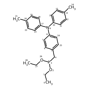 CCOP(Cc1ccc(N(c2ccc(C)cc2)c2ccc(C)cc2)cc1)OCC